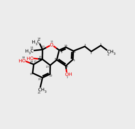 CCCCc1cc(O)c2c(c1)OC(C)(C)C1(O)C(O)CC(C)=CC21